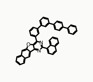 c1ccc(-c2ccc(-c3cccc(-c4cccc(-c5nc(-c6cccc7ccccc67)nc6c5oc5cc7ccccc7cc56)c4)c3)cc2)cc1